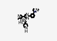 C=C/C(=C\N(C)C)c1cccc(-c2ncc(C3=CC(C)N=C3)c(NCC3(O)CCNCC3)n2)c1